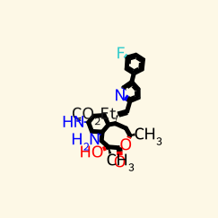 CCOC(=O)N[C@@H]1CCC2[C@H](/C=C/c3ccc(-c4cccc(F)c4)cn3)C[C@@H](C)OC(=O)[C@](C)(O)C[C@]2(N)C1